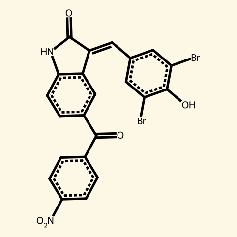 O=C1Nc2ccc(C(=O)c3ccc([N+](=O)[O-])cc3)cc2C1=Cc1cc(Br)c(O)c(Br)c1